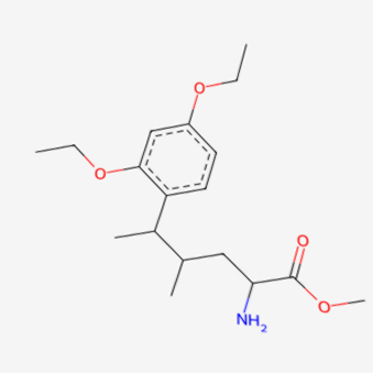 CCOc1ccc(C(C)C(C)CC(N)C(=O)OC)c(OCC)c1